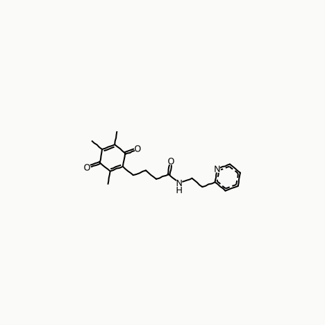 CC1=C(C)C(=O)C(CCCC(=O)NCCc2ccccn2)=C(C)C1=O